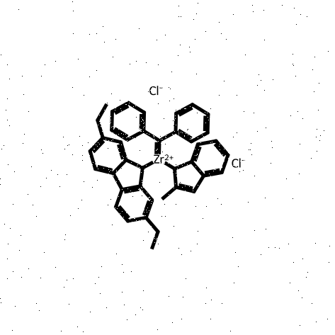 CCc1ccc2c(c1)[CH]([Zr+2](=[C](c1ccccc1)c1ccccc1)[CH]1C(C)=Cc3ccccc31)c1cc(CC)ccc1-2.[Cl-].[Cl-]